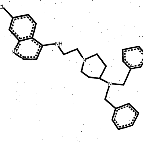 Clc1ccc2c(NCCN3CCC(N(Cc4ccccc4)Cc4ccccc4)CC3)ccnc2c1